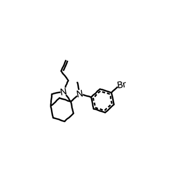 C=CCN1CC2CCCC1(N(C)c1cccc(Br)c1)C2